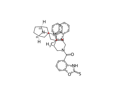 Cc1nc2ccccc2n1C1C[C@H]2CC[C@@H](C1)N2CCC1(c2ccccc2)CCN(C(=O)c2cccc3oc(=S)[nH]c23)CC1